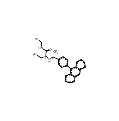 CC(C)C[C@H](N[C@@H](c1ccc(-c2c3ccccc3cc3ccccc23)cc1)C(F)(F)F)C(=O)NCC#N